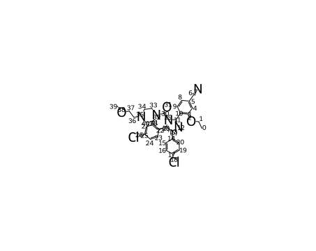 CCOc1cc(C#N)ccc1C1=N[C@@H](c2ccc(Cl)cc2)[C@@H](c2ccc(Cl)cc2)N1C(=O)N1CCN(CCOC)CC1